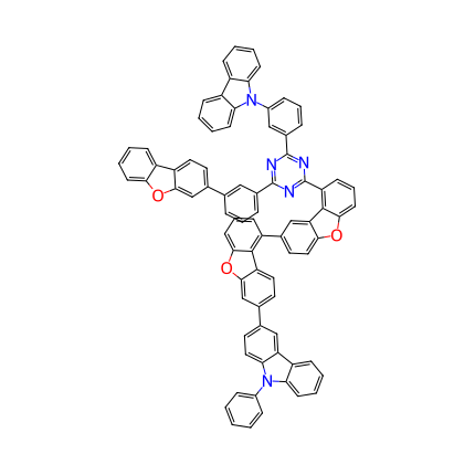 c1ccc(-n2c3ccccc3c3cc(-c4ccc5c(c4)oc4cccc(-c6ccc7oc8cccc(-c9nc(-c%10cccc(-c%11ccc%12c(c%11)oc%11ccccc%11%12)c%10)nc(-c%10cccc(-n%11c%12ccccc%12c%12ccccc%12%11)c%10)n9)c8c7c6)c45)ccc32)cc1